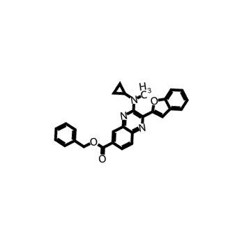 CN(c1nc2cc(C(=O)OCc3ccccc3)ccc2nc1-c1cc2ccccc2o1)C1CC1